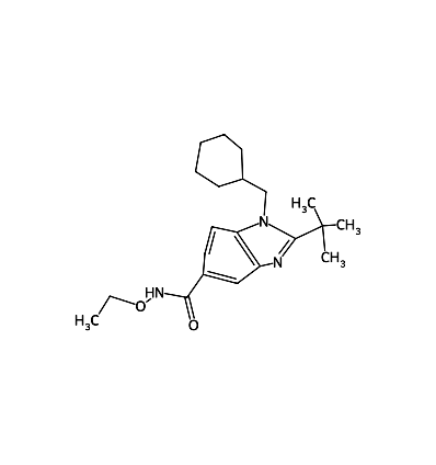 CCONC(=O)c1ccc2c(c1)nc(C(C)(C)C)n2CC1CCCCC1